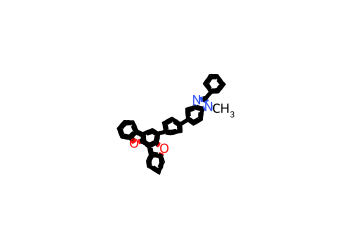 Cn1c(-c2ccccc2)nc2cc(-c3ccc(-c4cc5c6ccccc6oc5c5c4oc4ccccc45)cc3)ccc21